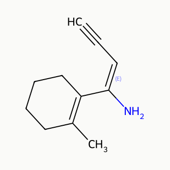 C#C/C=C(/N)C1=C(C)CCCC1